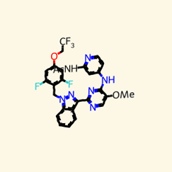 COc1cnc(-c2nn(Cc3c(F)cc(OCC(F)(F)F)cc3F)c3ccccc23)nc1Nc1ccnc(NC(C)=O)c1